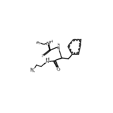 CC(C)NC(=S)NC(Cc1ccccc1)C(=O)NCCC#N